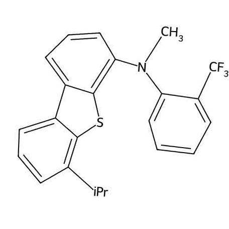 CC(C)c1cccc2c1sc1c(N(C)c3ccccc3C(F)(F)F)cccc12